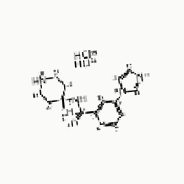 CC1(NC(=O)c2cccc(-n3ccnc3)c2)CCNCC1.Cl.Cl